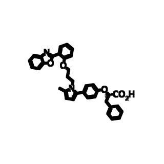 Cc1ccc(-c2ccc(O[C@H](Cc3ccccc3)C(=O)O)cc2)n1CCCOc1ccccc1-c1nc2ccccc2o1